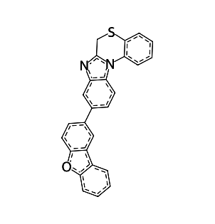 c1ccc2c(c1)SCc1nc3cc(-c4ccc5oc6ccccc6c5c4)ccc3n1-2